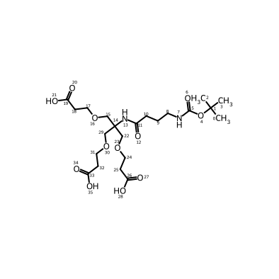 CC(C)(C)OC(=O)NCCCC(=O)NC(COCCC(=O)O)(COCCC(=O)O)COCCC(=O)O